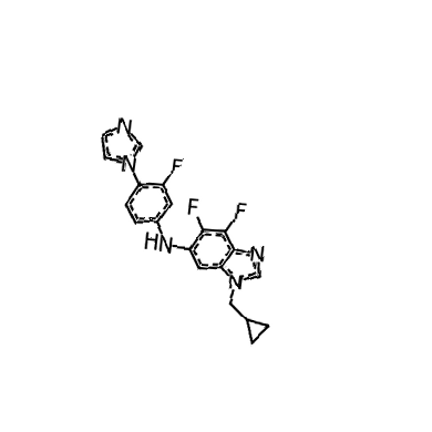 Fc1cc(Nc2cc3c(ncn3CC3CC3)c(F)c2F)ccc1-n1ccnc1